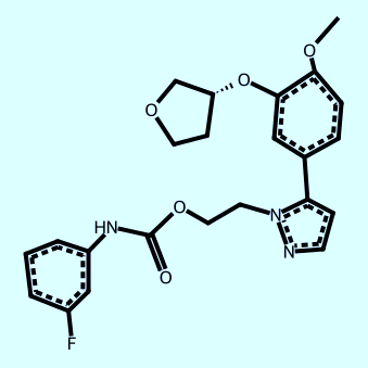 COc1ccc(-c2ccnn2CCOC(=O)Nc2cccc(F)c2)cc1O[C@@H]1CCOC1